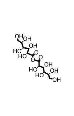 O=C(OC(=O)[C@H](O)[C@@H](O)[C@H](O)[C@H](O)CO)[C@H](O)[C@@H](O)[C@H](O)[C@H](O)CO